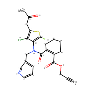 C#CCOC(=O)C1=C(C(=O)N(Cc2cccnc2)c2c(F)sc(CC(=O)OC)c2Cl)CCCC1